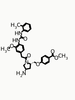 COC(=O)c1ccc(OC[C@@H]2C[C@@H](N)CN2C(=O)Cc2ccc(NC(=O)Nc3ccccc3C)c(OC)c2)cc1